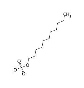 CCCCCCCCCCCOS([O])(=O)=O